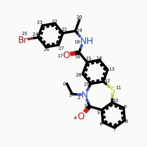 CCN1C(=O)c2ccccc2Sc2ccc(C(=O)NC(C)c3ccc(Br)cc3)cc21